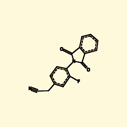 N#CCc1ccc(N2C(=O)c3ccccc3C2=O)c(F)c1